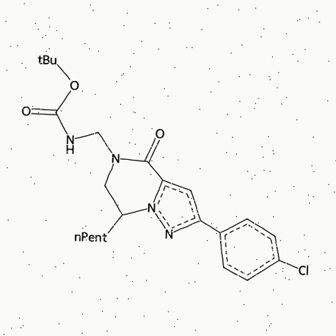 CCCCCC1CN(CNC(=O)OC(C)(C)C)C(=O)c2cc(-c3ccc(Cl)cc3)nn21